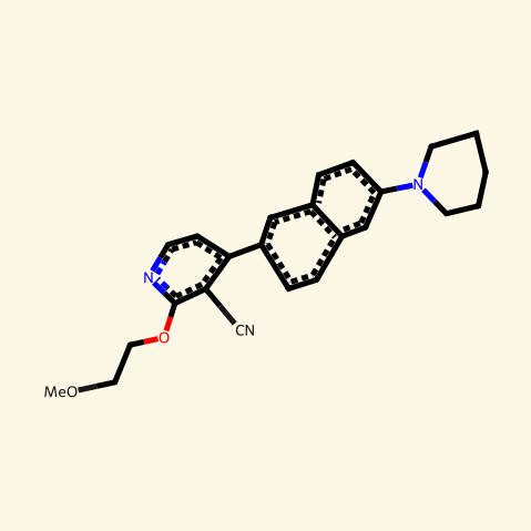 COCCOc1nccc(-c2ccc3cc(N4CCCCC4)ccc3c2)c1C#N